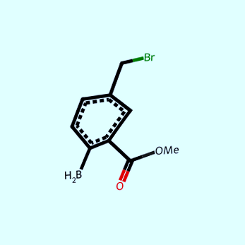 Bc1ccc(CBr)cc1C(=O)OC